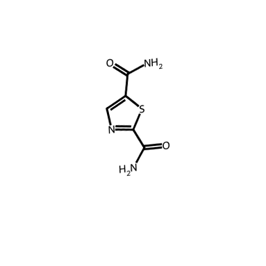 NC(=O)c1cnc(C(N)=O)s1